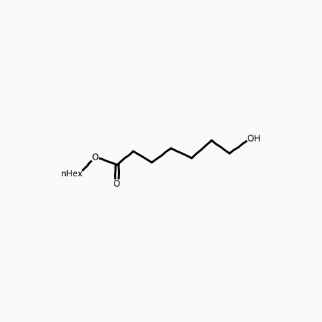 CCCCCCOC(=O)CCCCCCO